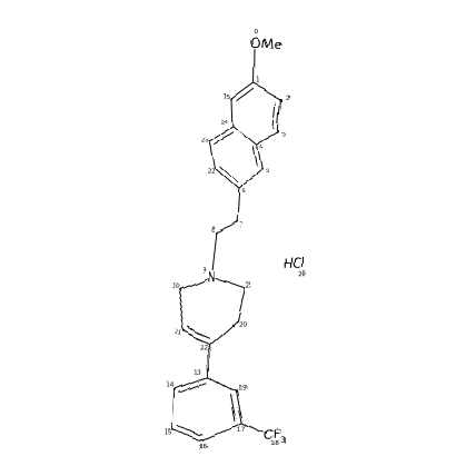 COc1ccc2cc(CCN3CC=C(c4cccc(C(F)(F)F)c4)CC3)ccc2c1.Cl